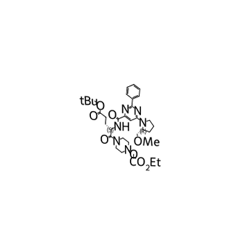 CCOC(=O)ON1CCN(C(=O)[C@H](CCC(=O)OC(C)(C)C)NC(=O)c2cc(N3CCC[C@@H]3COC)nc(-c3ccccc3)n2)CC1